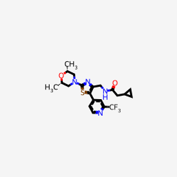 C[C@@H]1CN(c2nc(CNC(=O)CC3CC3)c(-c3ccnc(C(F)(F)F)c3)s2)C[C@H](C)O1